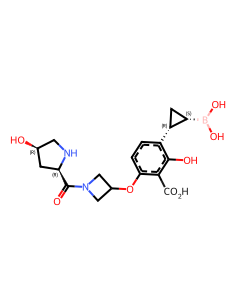 O=C(O)c1c(OC2CN(C(=O)[C@H]3C[C@@H](O)CN3)C2)ccc([C@@H]2C[C@@H]2B(O)O)c1O